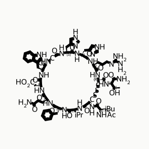 CC[C@H](C)[C@H](NC(C)=O)C(=O)N[C@H]1CSSC[C@@H](C(=O)N[C@H](C(N)=O)[C@@H](C)O)NC(=O)[C@H](CCCN=C(N)N)NC(=O)[C@@H](Cc2c[nH]cn2)NC(=O)[C@H](Cc2c[nH]cn2)NC(=O)CNC(=O)[C@H](Cc2c[nH]c3ccccc23)NC(=O)[C@@H](CC(=O)O)NC(=O)[C@H](CCC(N)=O)NC(=O)[C@@H](Cc2ccccc2)NC(=O)[C@H](C(C)C)NC1=O